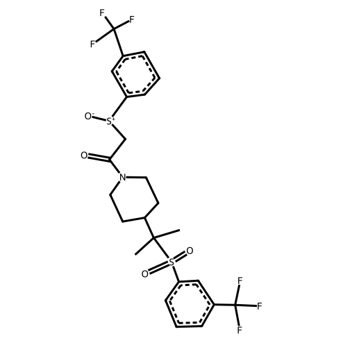 CC(C)(C1CCN(C(=O)C[S+]([O-])c2cccc(C(F)(F)F)c2)CC1)S(=O)(=O)c1cccc(C(F)(F)F)c1